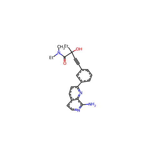 CCN(C)C(=O)C(O)(C#Cc1cccc(-c2ccc3ccnc(N)c3n2)c1)CC